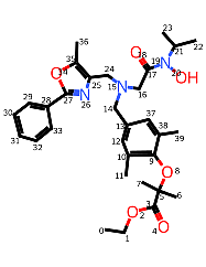 CCOC(=O)C(C)(C)Oc1c(C)cc(CN(CC(=O)N(O)C(C)C)Cc2nc(-c3ccccc3)oc2C)cc1C